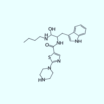 CCCCNC(O)C(Cc1c[nH]c2ccccc12)NC(=O)c1cnc(N2CCNCC2)s1